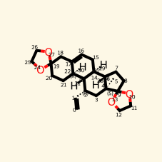 C=C[C@H]1C[C@@]2(C)[C@@H](CCC23OCCO3)[C@@H]2CC=C3CC4(CC[C@@H]3[C@H]21)OCCO4